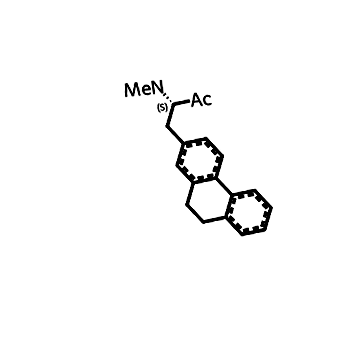 CN[C@@H](Cc1ccc2c(c1)CCc1ccccc1-2)C(C)=O